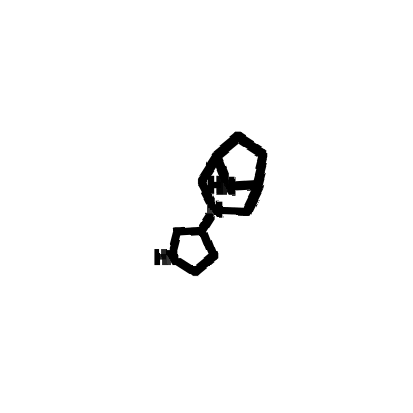 C1CC(N2CC3CCC(C2)N3)CN1